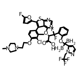 BC(B)(Oc1ccccc1C(F)(F)[C@H](Oc1ncnc2sc(-c3ccc(F)o3)c(-c3ccc(OCCN4CCN(C)CC4)c(Cl)c3C)c12)C(=O)O)c1ccnn1CC(F)(F)F